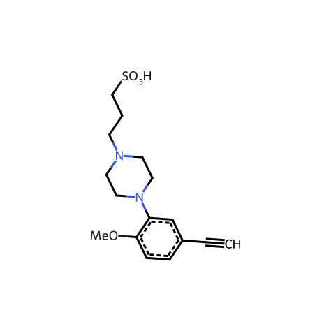 C#Cc1ccc(OC)c(N2CCN(CCCS(=O)(=O)O)CC2)c1